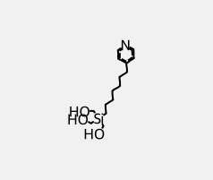 OC[Si](CO)(CO)CCCCCCCc1ccncc1